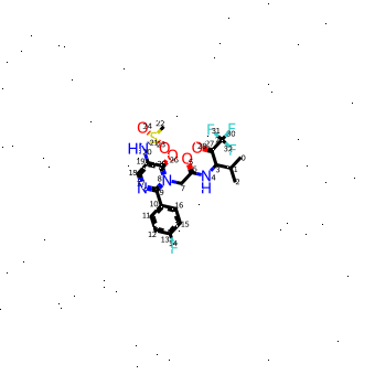 CC(C)C(NC(=O)Cn1c(-c2ccc(F)cc2)ncc(NS(C)(=O)=O)c1=O)C(=O)C(F)(F)F